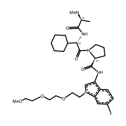 CN[C@@H](C)C(=O)N[C@H](C(=O)N1CCC[C@H]1C(=O)Nc1cn(CCOCCOCCOC)c2cc(F)ccc12)C1CCCCC1